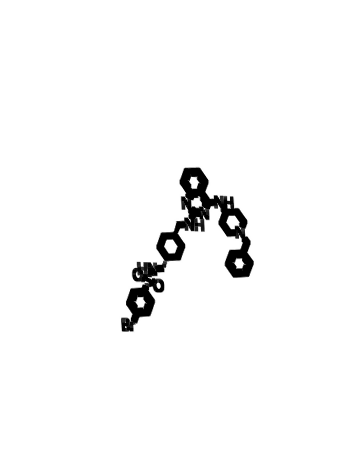 O=S(=O)(NC[C@H]1CC[C@H](CNc2nc(NC3CCN(Cc4ccccc4)CC3)c3ccccc3n2)CC1)c1ccc(Br)cc1